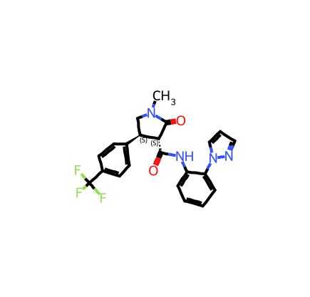 CN1C[C@H](c2ccc(C(F)(F)F)cc2)[C@@H](C(=O)Nc2ccccc2-n2cccn2)C1=O